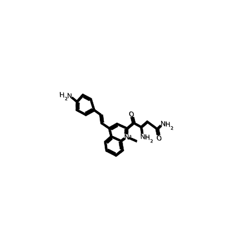 C[n+]1c(C(=O)C(N)CC(N)=O)cc(C=Cc2ccc(N)cc2)c2ccccc21